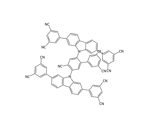 N#Cc1cc(C#N)cc(-c2ccc3c4ccc(-c5cc(C#N)cc(C#N)c5)cc4n(-c4cc(-c5cc(C#N)cc(C(F)(F)F)c5)c(-n5c6cc(-c7cc(C#N)cc(C#N)c7)ccc6c6ccc(-c7cc(C#N)cc(C#N)c7)cc65)cc4C#N)c3c2)c1